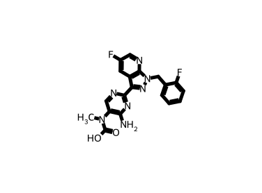 CN(C(=O)O)c1cnc(-c2nn(Cc3ccccc3F)c3ncc(F)cc23)nc1N